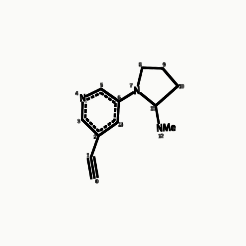 C#Cc1cncc(N2CCCC2NC)c1